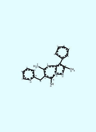 Cc1nc2c(-c3ccccc3)c(C)nn2c(S)c1Cc1ccccn1